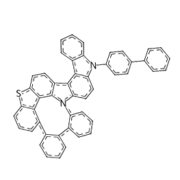 c1ccc(-c2ccc(-n3c4ccccc4c4c5c6ccc7sc8cccc9c%10ccccc%10c%10ccccc%10n(c5ccc43)c6c7c89)cc2)cc1